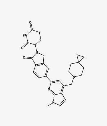 Cn1ccc2c(CN3CCC4(CC3)CC4)cc(-c3ccc4c(c3)CN(C3CCC(=O)NC3=O)C4=O)nc21